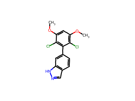 COc1cc(OC)c(Cl)c(-c2ccc3cn[nH]c3c2)c1Cl